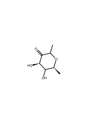 CC1O[C@@H](C)C(O)[C@@H](O)C1=O